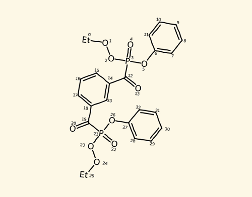 CCOOP(=O)(Oc1ccccc1)C(=O)c1cccc(C(=O)P(=O)(OOCC)Oc2ccccc2)c1